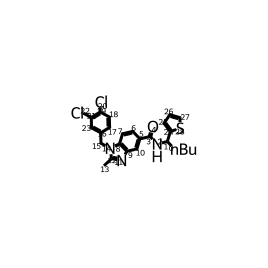 CCCCC(NC(=O)c1ccc2c(c1)nc(C)n2Cc1ccc(Cl)c(Cl)c1)c1cccs1